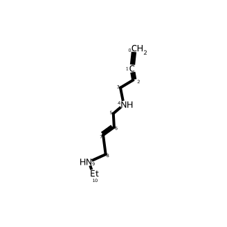 C=C=CCNCC=CCNCC